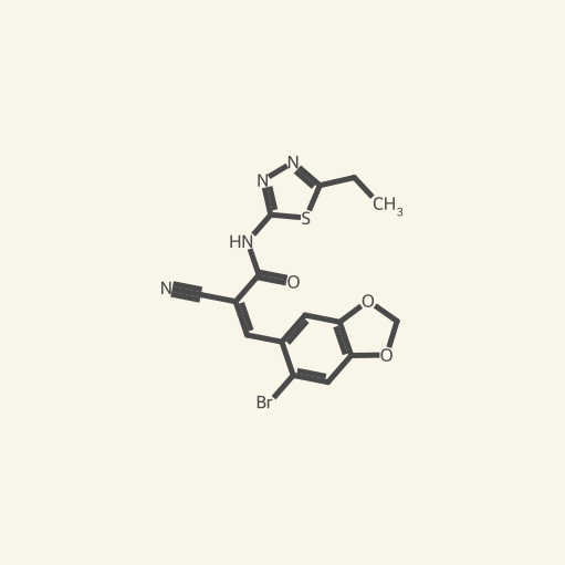 CCc1nnc(NC(=O)C(C#N)=Cc2cc3c(cc2Br)OCO3)s1